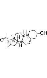 CC(=O)[C@H]1C(C)C[C@H]2[C@@H]3CC=C4CC(O)CC[C@]4(C)[C@H]3CC[C@]12C